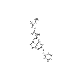 CC(C)(C)OC(=O)CCC(=O)NC(=O)CC(NC(=O)OCc1ccccc1)C1CCCC1